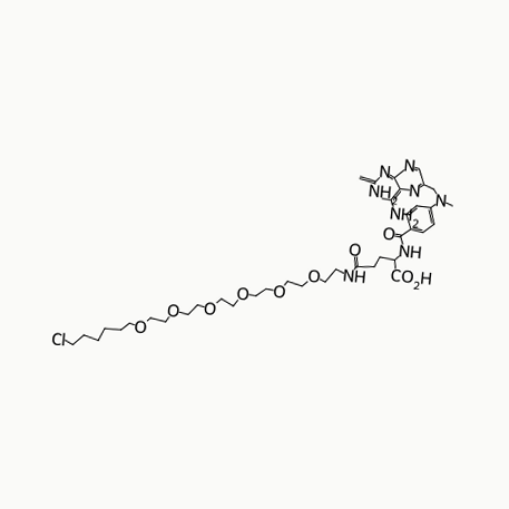 C=C(N)/N=C1/N=CC(CN(C)c2ccc(C(=O)NC(CCC(=O)NCCOCCOCCOCCOCCOCCOCCCCCCCl)C(=O)O)cc2)=N/C1=C(/C)N